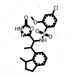 COc1cc(Cl)ccc1S(=O)(=O)NC(c1n[nH]c(=O)o1)C(C)c1cccc2c1C(C)CC2